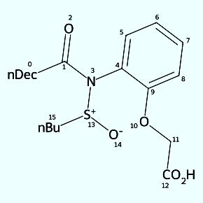 CCCCCCCCCCC(=O)N(c1ccccc1OCC(=O)O)[S+]([O-])CCCC